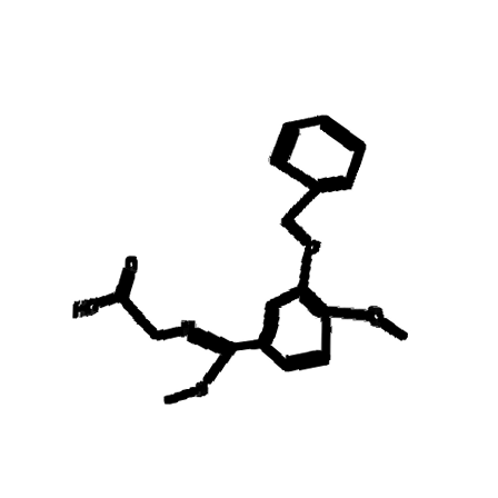 COc1ccc(C(=NCC(=O)O)SC)cc1OCc1ccccc1